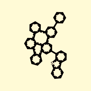 c1ccc(-c2ccc3c(c2)c2ccccc2c2cccc4c5ccccc5c5cc(-c6cccc7c6sc6ccccc67)cc3c5c24)cc1